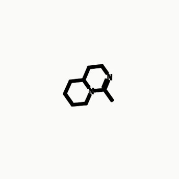 CC1=NCCC2CCCCN12